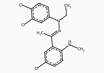 CCN(/N=C(\C)c1cc(Cl)ccc1NC)c1ccc(Cl)c(Cl)c1